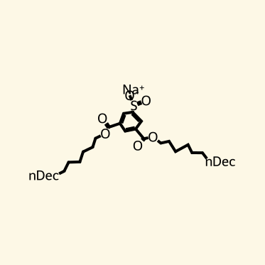 CCCCCCCCCCCCCCCCOC(=O)c1cc(C(=O)OCCCCCCCCCCCCCCCC)cc(S(=O)[O-])c1.[Na+]